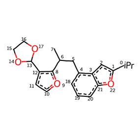 CC(C)c1cc2c(CC(C)c3occc3C3OCCO3)cccc2o1